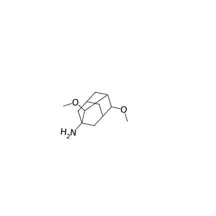 COC1C2CC3CC1C(OC)C(N)(C3)C2